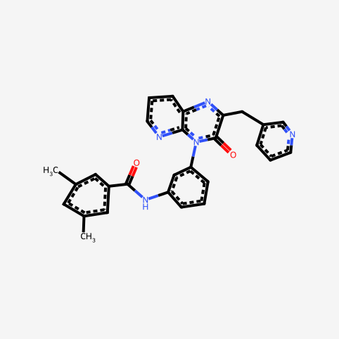 Cc1cc(C)cc(C(=O)Nc2cccc(-n3c(=O)c(Cc4cccnc4)nc4cccnc43)c2)c1